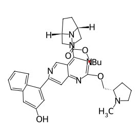 CN1CCC[C@H]1COc1nc(N2C[C@H]3CC[C@@H](C2)N3C(=O)OC(C)(C)C)c2cnc(-c3cc(O)cc4ccccc34)cc2n1